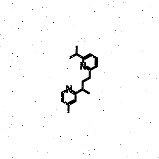 Cc1ccnc(C(C)CCc2cccc(C(C)C)n2)c1